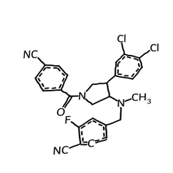 CN(Cc1ccc(C#N)c(F)c1)C1CN(C(=O)c2ccc(C#N)cc2)CC1c1ccc(Cl)c(Cl)c1